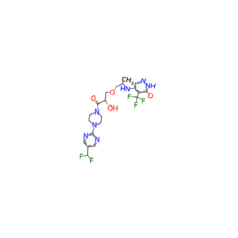 CC(COCC(O)C(=O)N1CCN(c2ncc(C(F)F)cn2)CC1)Nc1cn[nH]c(=O)c1C(F)(F)F